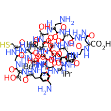 CC[C@H](C)[C@H](NC(=O)[C@@H](NC(=O)[C@H](CS)NC(=O)CNC(=O)[C@@H](NC(=O)[C@@H](N)Cc1ccccc1)[C@@H](C)O)C(C)C)C(=O)N[C@@H](C)C(=O)N[C@@H](Cc1c[nH]c2ccccc12)C(=O)N[C@@H](CC(N)=O)C(=O)N[C@@H](CO)C(=O)N[C@@H](CC(N)=O)C(=O)N[C@@H](CC(N)=O)C(=O)N[C@@H](CC(C)C)C(=O)N[C@@H](CC(=O)O)C(=O)N[C@@H](CO)C(=O)N[C@@H](CCCCN)C(=O)N[C@H](C(=O)NCC(=O)NCC(=O)N[C@@H](CC(N)=O)C(=O)O)C(C)C